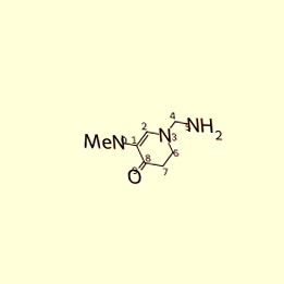 CNC1=CN(CN)CCC1=O